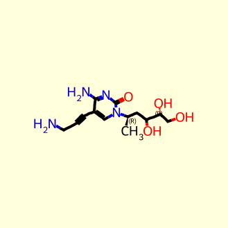 C[C@H](CC(O)[C@H](O)CO)n1cc(C#CCN)c(N)nc1=O